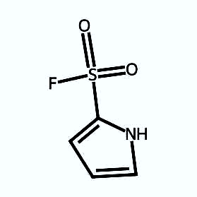 O=S(=O)(F)c1ccc[nH]1